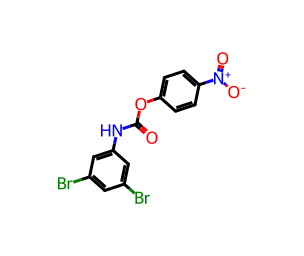 O=C(Nc1cc(Br)cc(Br)c1)Oc1ccc([N+](=O)[O-])cc1